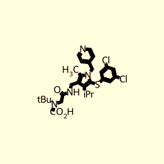 Cc1c(CNC(=O)CN(C(=O)O)C(C)(C)C)c(C(C)C)c(Sc2cc(Cl)cc(Cl)c2)n1Cc1ccncc1